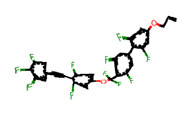 C=CCOc1cc(F)c(-c2cc(F)c(C(F)(F)Oc3cc(F)c(C#Cc4cc(F)c(F)c(F)c4)c(F)c3)c(F)c2)c(F)c1